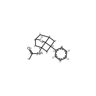 CC(=O)NC12CC3CC4CC(c5ccccc5)(C1)C42C3